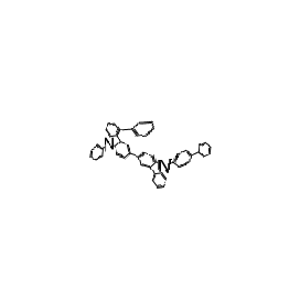 C1=CC2C(C=C1c1ccc3c(c1)c1ccccc1n3-c1ccc(-c3ccccc3)cc1)c1c(-c3ccccc3)cccc1N2c1ccccc1